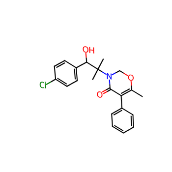 CC1=C(c2ccccc2)C(=O)N(C(C)(C)C(O)c2ccc(Cl)cc2)CO1